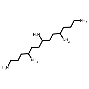 NCCCC(N)CCC(N)CCC(N)CCCN